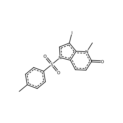 Cc1ccc(S(=O)(=O)n2cc(I)c3c2ccc(=O)n3C)cc1